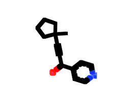 CC1(C#CC(=O)c2ccncc2)CCCC1